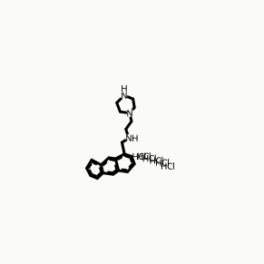 Cl.Cl.Cl.Cl.Cl.Cl.c1ccc2cc3c(CNCCN4CCNCC4)cccc3cc2c1